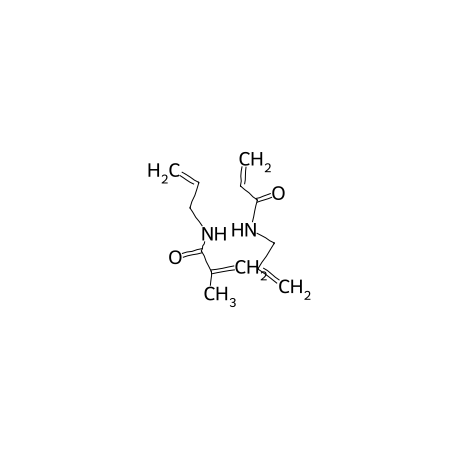 C=CCNC(=O)C(=C)C.C=CCNC(=O)C=C